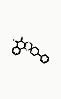 O=C1C(=O)c2ccccc2C2=C1SCC1(CCC(c3ccccc3)CC1)O2